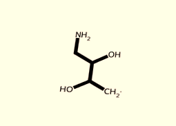 [CH2]C(O)C(O)CN